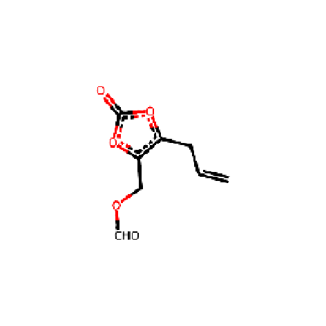 C=CCc1oc(=O)oc1COC=O